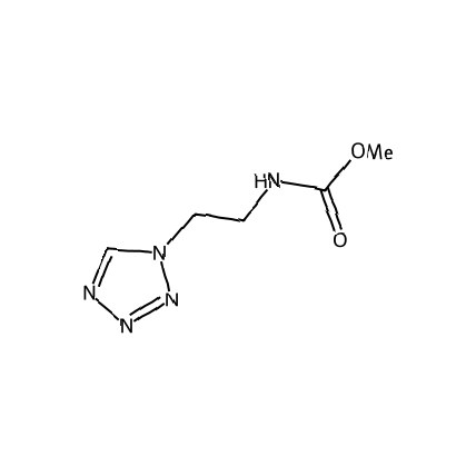 COC(=O)NCCn1cnnn1